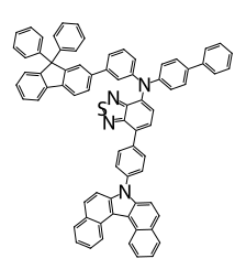 c1ccc(-c2ccc(N(c3cccc(-c4ccc5c(c4)C(c4ccccc4)(c4ccccc4)c4ccccc4-5)c3)c3ccc(-c4ccc(-n5c6ccc7ccccc7c6c6c7ccccc7ccc65)cc4)c4nsnc34)cc2)cc1